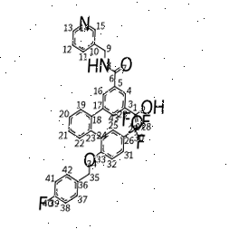 O=C(O)c1cc(C(=O)NCc2cccnc2)cc(-c2ccccc2-c2cc(C(F)(F)F)ccc2OCc2ccc(F)cc2)c1